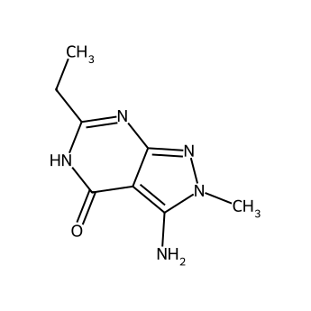 CCc1nc2nn(C)c(N)c2c(=O)[nH]1